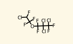 FC(Cl)C(F)(F)OC(F)(F)C(Cl)(Cl)C(F)(F)Cl